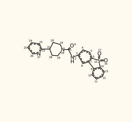 O=C(Nc1ccc2c(c1)-c1ccccc1S2(=O)=O)N1CCC(c2ccccn2)CC1